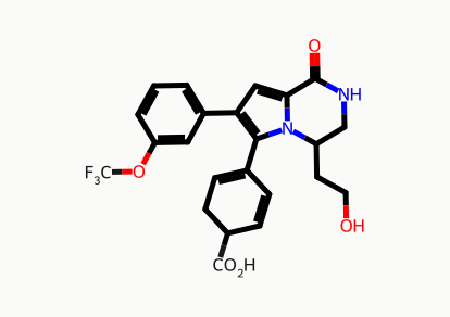 O=C1NCC(CCO)n2c1cc(-c1cccc(OC(F)(F)F)c1)c2C1=CCC(C(=O)O)C=C1